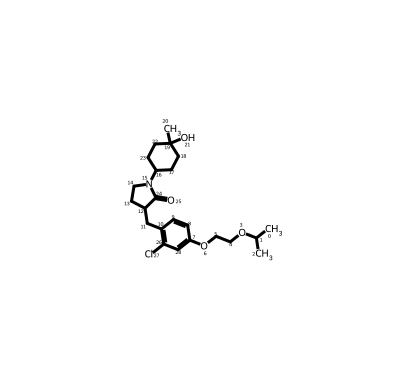 CC(C)OCCOc1ccc(CC2CCN(C3CCC(C)(O)CC3)C2=O)c(Cl)c1